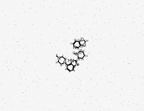 CN1CCN(c2cccc3nc([C@H]4CCC[C@@H](c5nccc6c5OCO6)N4C)[nH]c23)CC1